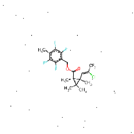 Cc1c(F)c(F)c(COC(=O)[C@@]2(C)C(C)(C)[C@@]2(C)/C=C(\Cl)C(F)(F)F)c(F)c1F